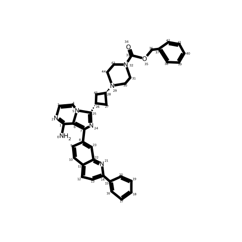 Nc1nccn2c1c(-c1ccc3ccc(-c4ccccc4)nc3c1)nc2[C@H]1C[C@@H](N2CCN(C(=O)OCc3ccccc3)CC2)C1